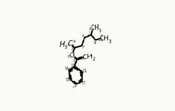 C=C(OC(C)CCC(C)CC)c1ccccc1